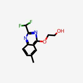 Cc1ccc2nc(C(F)F)nc(OCCO)c2c1